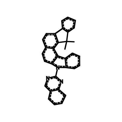 CC1(C)c2ccccc2-c2ccc3ccc4c(c5ccccc5n4-c4ncc5ccccc5n4)c3c21